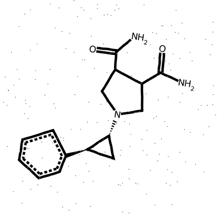 NC(=O)C1CN([C@@H]2C[C@H]2c2ccccc2)CC1C(N)=O